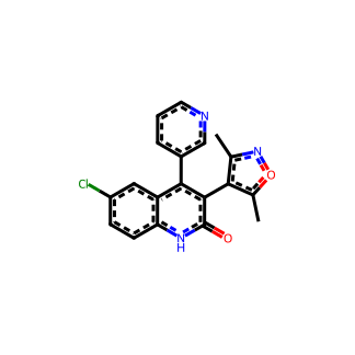 Cc1noc(C)c1-c1c(-c2cccnc2)c2cc(Cl)ccc2[nH]c1=O